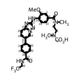 COc1cc(C(=O)N(C)CCN(C)C(=O)O)ccc1Nc1nc2ccc(-c3ccc(C(=O)NCC(F)(F)F)cc3)cn2n1